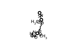 COc1cc(-c2nc3ccccc3s2)ccc1OCCCCCOc1cc2c(cc1OC)C(=O)N1CCC[C@H]1C=N2